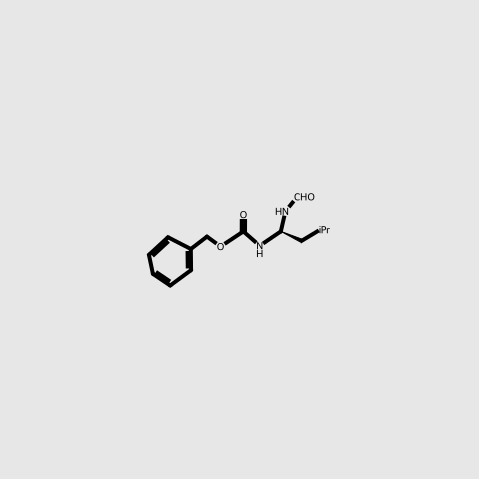 CC(C)C[C@H](NC=O)NC(=O)OCc1ccccc1